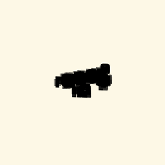 Cl.Cl.O=C1C[C@]2(CC[C@@H](N3CCN(c4ccc(F)cc4)CC3)CC2)c2ccccc21